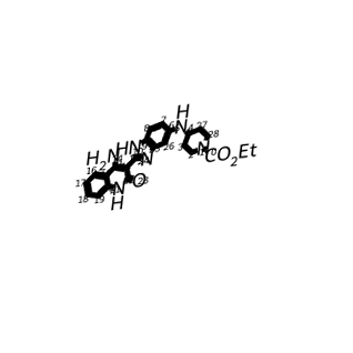 CCOC(=O)N1CCC(Nc2ccc3[nH]c(-c4c(N)c5ccccc5[nH]c4=O)nc3c2)CC1